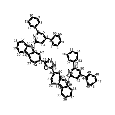 c1ccc(-c2cc(-c3ccccc3)nc(-n3c4ccccc4c4ccc(-c5nnc(-c6ccc7c8ccccc8n(-c8cc(-c9ccccc9)cc(-c9ccccc9)n8)c7c6)o5)cc43)c2)cc1